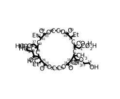 CCC1CC(CC(=O)O)(C(=O)O)CC(C)(C(=O)OCCO)C(C)C(=O)OCCOC(=O)C(CC)C(C)(C(=O)CCO)CC(CC(=O)O)(C(=O)O)CC(CC)C(=O)OCCOC1=O